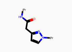 CC(C)NC(=O)Cc1ccn(C(C)C)n1